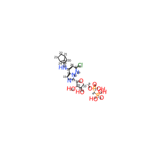 O=P(O)(O)CP(=O)(O)OC[C@H]1O[C@@H](c2ncc3c(NC4CC5CCC4C5)cc(Cl)nn23)[C@H](O)[C@@H]1O